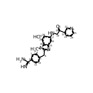 Cl.Cn1c(Cc2ccc(C(=N)N)cc2)nc2cc(NCC(=O)c3cccnc3)ccc21